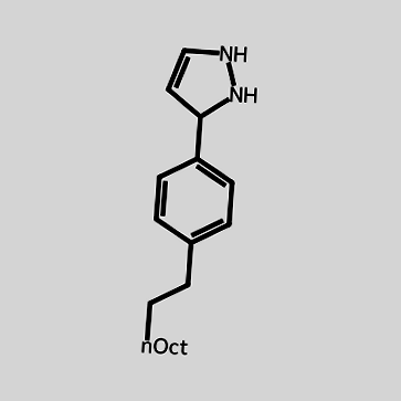 CCCCCCCCCCc1ccc(C2C=CNN2)cc1